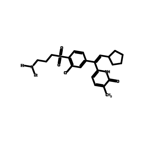 CCN(CC)CCCS(=O)(=O)c1ccc(/C(=C/C2CCCC2)c2ccc(C)c(=O)[nH]2)cc1Cl